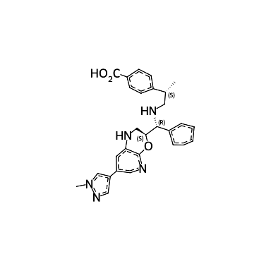 C[C@H](CN[C@H](c1ccccc1)[C@@H]1CNc2cc(-c3cnn(C)c3)cnc2O1)c1ccc(C(=O)O)cc1